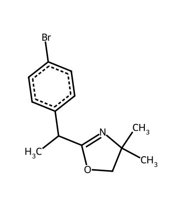 CC(C1=NC(C)(C)CO1)c1ccc(Br)cc1